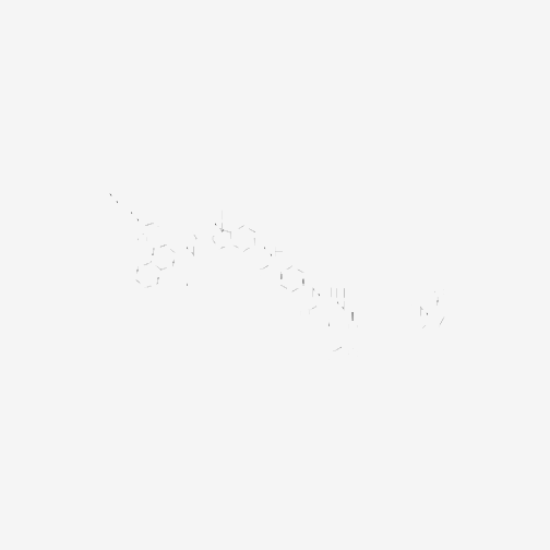 CC[C@@H]1CN(C(=O)c2cc3cc(NC(=O)c4ccc(NC(=O)[C@H](CCC(=O)O)NC(=O)CCCCCN5C(=O)C=CC5=O)cc4)ccc3[nH]2)c2cc(OC(=O)N3CCN(C)CC3)c3ccccc3c21